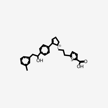 Cc1cccc(CC(O)c2ccc(C3=CCC[C@@H]3CCCc3ccc(C(=O)O)s3)cc2)c1